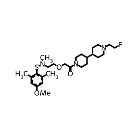 COc1cc(C)c(SN(C)CCOCC(=O)N2CCC(C3CCN(CCF)CC3)CC2)c(C)c1